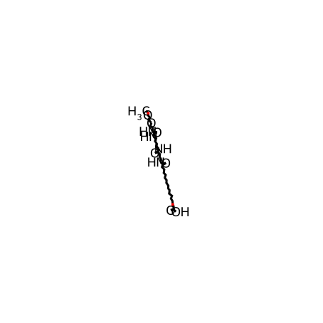 CCOCCOCCNC(=O)NCCCCNC(=O)CCCNC(=O)CCCCCCCCCCCCCCCCC(=O)O